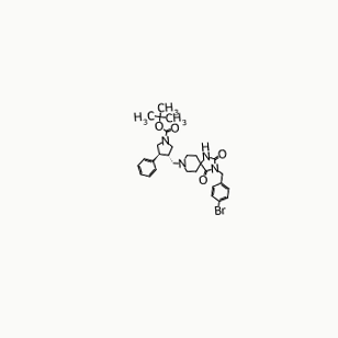 CC(C)(C)OC(=O)N1C[C@H](CN2CCC3(CC2)NC(=O)N(Cc2ccc(Br)cc2)C3=O)[C@@H](c2ccccc2)C1